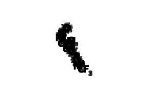 CN1C(=O)C(NC(=O)c2ncn(Cc3ccccc3)n2)COc2ccc(CN3CCn4nc(C(F)(F)F)nc4C3)cc21